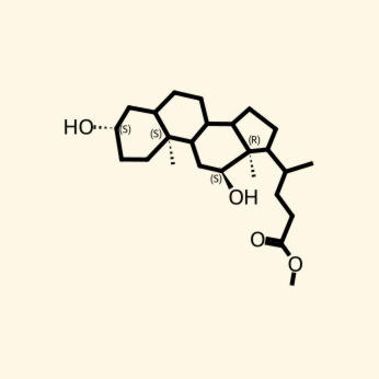 COC(=O)CCC(C)C1CCC2C3CCC4C[C@@H](O)CC[C@]4(C)C3C[C@H](O)[C@]12C